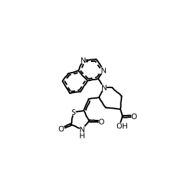 O=C1NC(=O)C(=CC2CC(C(=O)O)CCN2c2ncnc3ccccc23)S1